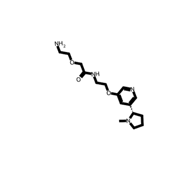 CN1CCC[C@H]1c1cncc(OCCNC(=O)COCCN)c1